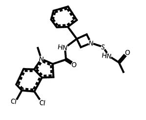 CC(=O)NSN1CC(NC(=O)c2cc3c(Cl)c(Cl)ccc3n2C)(c2ccccc2)C1